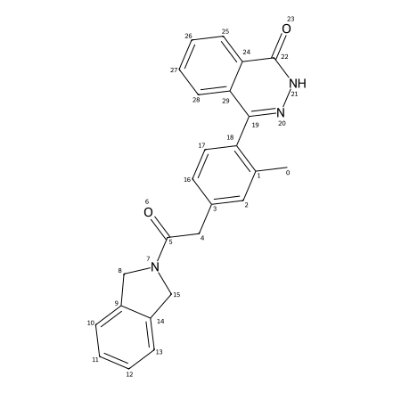 Cc1cc(CC(=O)N2Cc3ccccc3C2)ccc1-c1n[nH]c(=O)c2ccccc12